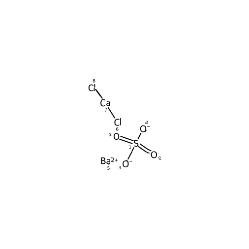 O=S(=O)([O-])[O-].[Ba+2].[Cl][Ca][Cl]